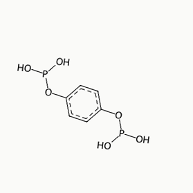 OP(O)Oc1ccc(OP(O)O)cc1